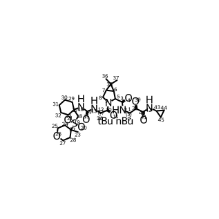 CCCC[C@H](NC(=O)C1C2C(CN1C(=O)[C@@H](NC(=O)NC1(CS(=O)(=O)C3(C)CCOCC3)CCCCC1)C(C)(C)C)C2(C)C)C(=O)C(=O)NC1CC1